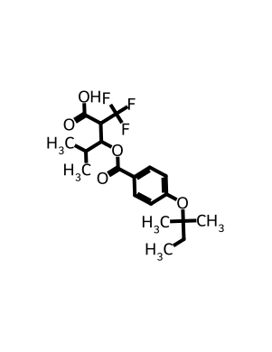 CCC(C)(C)Oc1ccc(C(=O)OC(C(C)C)C(C(=O)O)C(F)(F)F)cc1